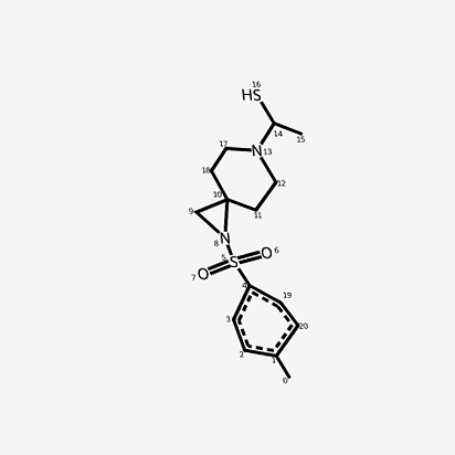 Cc1ccc(S(=O)(=O)N2CC23CCN(C(C)S)CC3)cc1